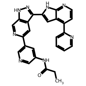 CCC(=O)Nc1cncc(-c2cc3c(-c4cc5c(-c6ccccn6)ccnc5[nH]4)n[nH]c3cn2)c1